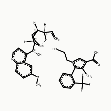 C=C[C@H]1C[N@]2CC[C@H]1C[C@H]2[C@H](O)c1ccnc2ccc(OC)cc12.Cc1c(C(=O)O)cn(CCO)c1-c1ccccc1C(F)(F)F